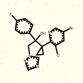 OC(Cn1cncn1)(c1ccc(F)cc1)C1(c2ncc(Br)cc2Cl)CC1